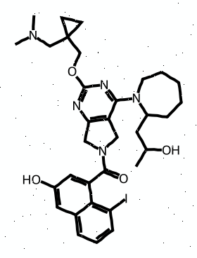 CC(O)CC1CCCCCN1c1nc(OCC2(CN(C)C)CC2)nc2c1CN(C(=O)c1cc(O)cc3cccc(I)c13)C2